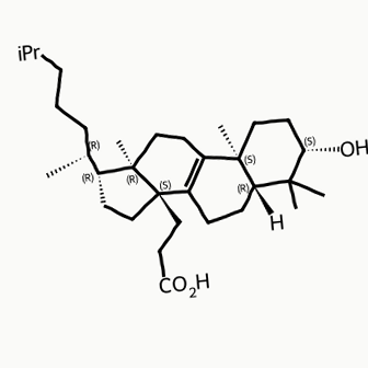 CC(C)CCC[C@@H](C)[C@H]1CC[C@@]2(CCC(=O)O)C3=C(CC[C@]12C)[C@@]1(C)CC[C@H](O)C(C)(C)[C@@H]1CC3